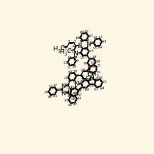 C=C/C=C\C1=C(C)N(c2ccccc2)c2cc(-c3cccc(/C(C)=C/C(=C\C)c4cccc(-c5nc(-c6ccccc6)nc(-c6ccccc6)n5)c4-n4c5ccccc5c5cc6c7ccccc7n(-c7ccccc7)c6cc54)c3)cc3c2B1c1ccccc1N3c1ccccc1